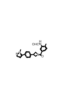 Cc1ccc(C(=O)N2CC(c3ccc(-c4ccnn4C)cc3)C2)cc1NC=O